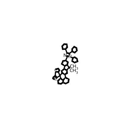 CC1(C)c2cc(-c3nc(-c4ccccc4)c(-c4ccccc4)n3-c3ccccc3)ccc2-c2cc3c(cc21)-c1cccc2cccc(c12)C31c2ccccc2-c2ccccc21